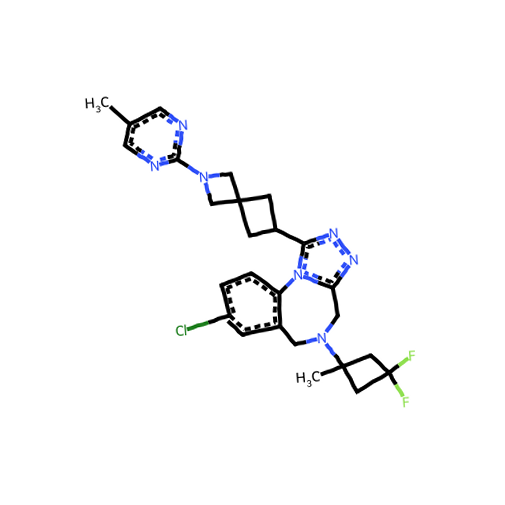 Cc1cnc(N2CC3(CC(c4nnc5n4-c4ccc(Cl)cc4CN(C4(C)CC(F)(F)C4)C5)C3)C2)nc1